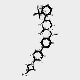 C[C@@H](c1ccc(-c2cnc(N3CC(O)C3)nc2)cc1)N1CC[C@](CC(C)(C)O)(c2ccccc2)OC1=O